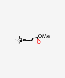 COC(=O)C=CC#C[Si](C)(C)C